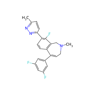 Cc1ccc(-c2ccc3c(c2F)CN(C)CC=C3c2cc(F)cc(F)c2)nn1